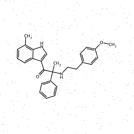 COc1ccc(CCNC(C)(C(=O)c2c[nH]c3c(C)cccc23)c2ccccc2)cc1